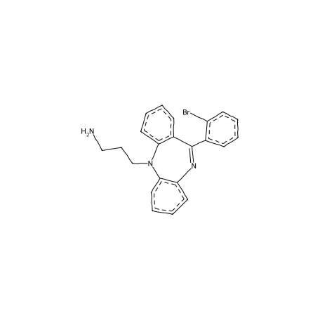 NCCCN1c2ccccc2N=C(c2ccccc2Br)c2ccccc21